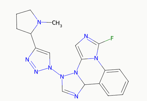 CN1CCCC1c1cn(N2C=NC3c4ccccc4-n4c(cnc4F)N32)nn1